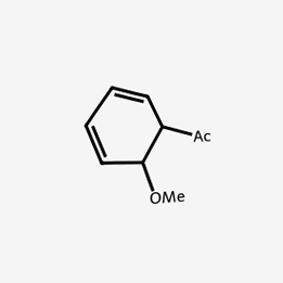 COC1C=CC=CC1C(C)=O